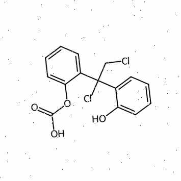 O=C(O)Oc1ccccc1C(Cl)(CCl)c1ccccc1O